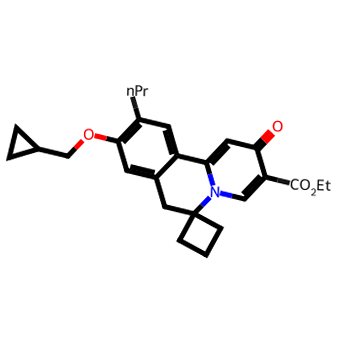 CCCc1cc2c(cc1OCC1CC1)CC1(CCC1)n1cc(C(=O)OCC)c(=O)cc1-2